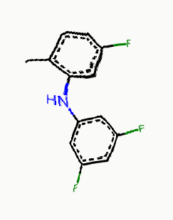 Cc1ccc(F)cc1Nc1cc(F)cc(F)c1